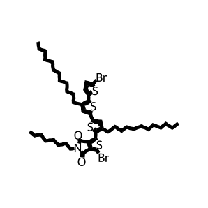 CCCCCCCCCCCCc1cc(-c2cc(CCCCCCCCCCCC)c(-c3sc(Br)c4c3C(=O)N(CCCCCCCC)C4=O)s2)sc1-c1ccc(Br)s1